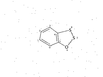 [c]1cccc2c1OSS2